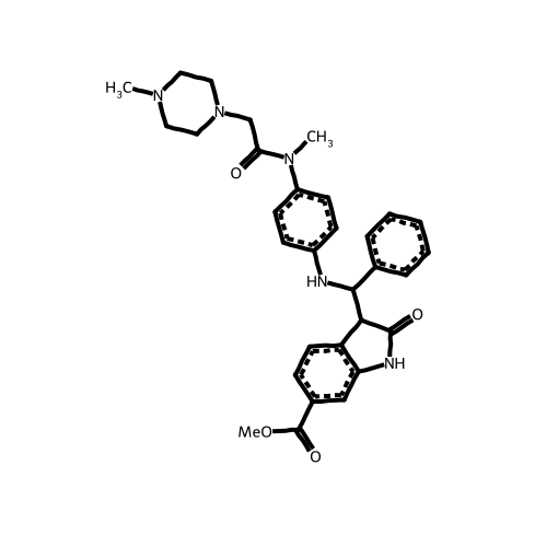 COC(=O)c1ccc2c(c1)NC(=O)C2C(Nc1ccc(N(C)C(=O)CN2CCN(C)CC2)cc1)c1ccccc1